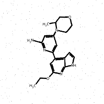 CCOc1cc(-c2cc(N3CCOCC3C)cc(N)n2)c2cc[nH]c2n1